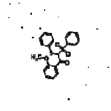 COc1ccccc1C(=O)C(Sc1ccccc1)S(=O)(=O)c1ccccc1